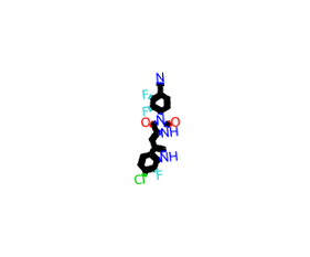 N#Cc1ccc(N2C(=O)NC(=Cc3c[nH]c4c(F)c(Cl)ccc34)C2=O)c(F)c1F